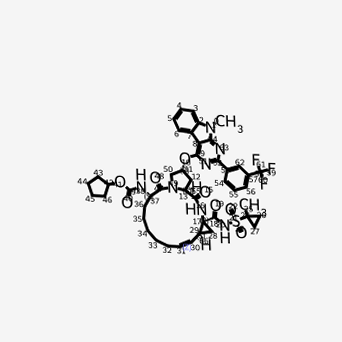 Cn1c2ccccc2c2c(O[C@@H]3C[C@H]4C(=O)N[C@]5(C(=O)NS(=O)(=O)C6(C)CC6)C[C@H]5/C=C\CCCCC[C@H](NC(=O)OC5CCCC5)C(=O)N4C3)nc(-c3cccc(C(F)(F)F)c3)nc21